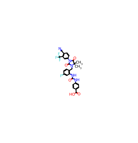 CC1(C)C(=O)N(c2ccc(C#N)c(C(F)(F)F)c2)C(=O)N1Cc1ccc(F)cc1NC(=O)Nc1ccc(C(=O)O)cc1